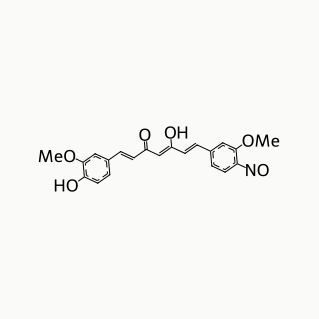 COc1cc(/C=C/C(=O)/C=C(O)/C=C/c2ccc(N=O)c(OC)c2)ccc1O